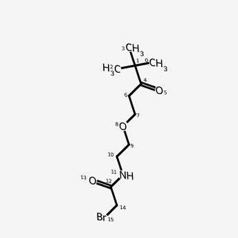 CC(C)(C)C(=O)CCOCCNC(=O)CBr